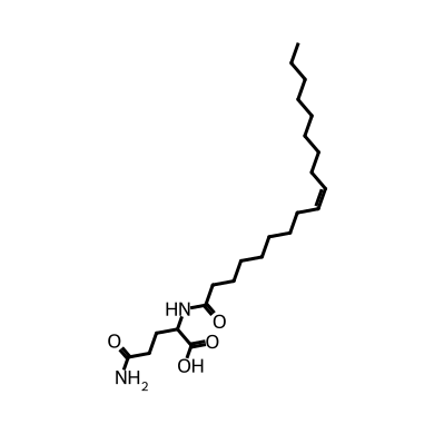 CCCCCCCC/C=C\CCCCCCCC(=O)NC(CCC(N)=O)C(=O)O